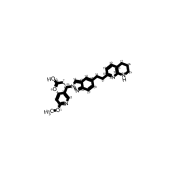 COc1ccc([C@H](CC(=O)O)n2cc3cc(CCc4ccc5c(n4)NCCC5)ccc3n2)cn1